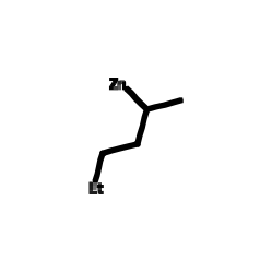 CCCC[CH](C)[Zn]